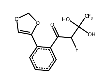 O=C(c1ccccc1C1=COCO1)C(F)C(O)(O)C(F)(F)F